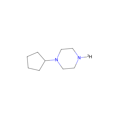 [2H]N1CCN(C2CCCC2)CC1